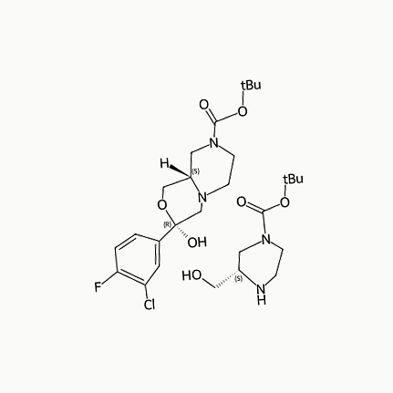 CC(C)(C)OC(=O)N1CCN2C[C@@](O)(c3ccc(F)c(Cl)c3)OC[C@@H]2C1.CC(C)(C)OC(=O)N1CCN[C@H](CO)C1